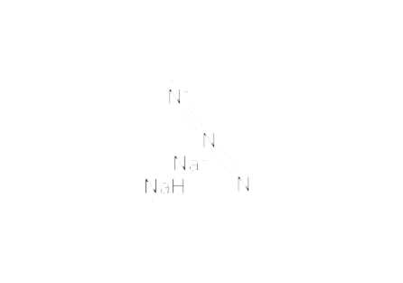 [N-]=[N+]=[N-].[Na+].[NaH]